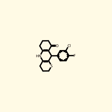 O=C1CCCC2=C1C(c1ccc(F)c(Cl)c1)C1=C(CCCS1)N2